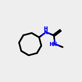 C=C(NC)NC1CCCCCCC1